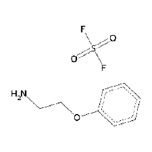 NCCOc1ccccc1.O=S(=O)(F)F